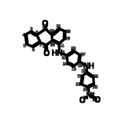 O=C1c2ccccc2C(=O)c2c(Nc3ccc(Nc4ccc([N+](=O)[O-])cc4)cc3)cccc21